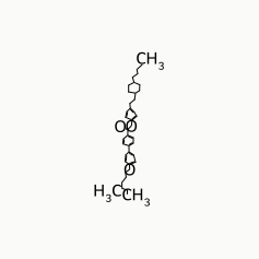 CCCCCC1CCC(CCc2ccc(OC(=O)c3ccc(-c4ccc(OCCCC(C)CC)cc4)cc3)cc2)CC1